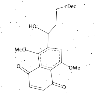 CCCCCCCCCCCCC(O)c1cc(OC)c2c(c1OC)C(=O)C=CC2=O